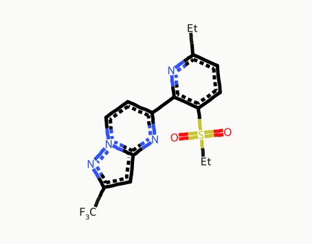 CCc1ccc(S(=O)(=O)CC)c(-c2ccn3nc(C(F)(F)F)cc3n2)n1